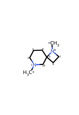 CN1CCCC2(CCN2C)C1